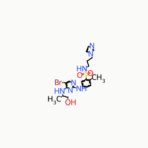 Cc1ccc(Nc2ncc(Br)c(N[C@H](C)CO)n2)cc1S(=O)(=O)NCCCn1ccnc1